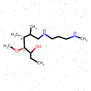 CCC(O)[C@@H](OC)[C@H](C)C(C)CNCCCNC